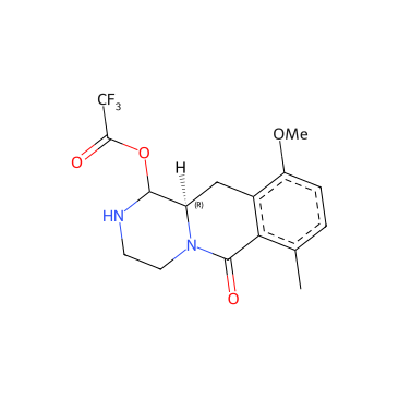 COc1ccc(C)c2c1C[C@@H]1C(OC(=O)C(F)(F)F)NCCN1C2=O